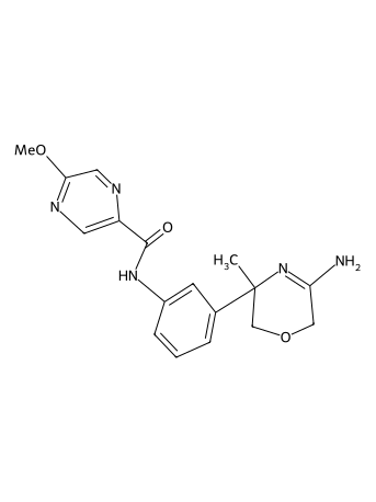 COc1cnc(C(=O)Nc2cccc(C3(C)COCC(N)=N3)c2)cn1